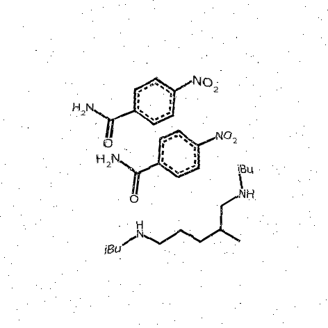 CCC(C)NCCCC(C)CNC(C)CC.NC(=O)c1ccc([N+](=O)[O-])cc1.NC(=O)c1ccc([N+](=O)[O-])cc1